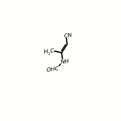 C/C(=C\C#N)NC=O